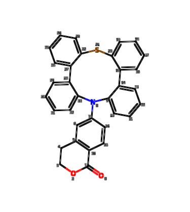 O=C1OCCc2cc(N3c4ccccc4-c4ccccc4Sc4ccccc4-c4ccccc43)ccc21